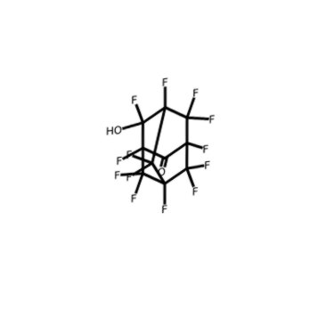 O=C1C2(F)C(O)(F)C3(F)C(F)(F)C1(F)C(F)(F)C(F)(C2(F)F)C3(F)F